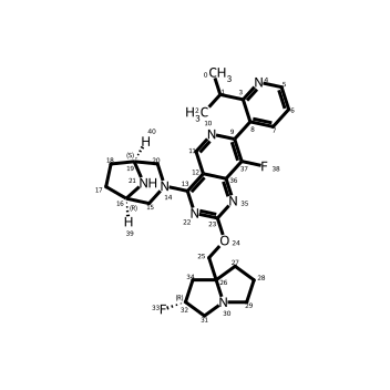 CC(C)c1ncccc1-c1ncc2c(N3C[C@H]4CC[C@@H](C3)N4)nc(OCC34CCCN3C[C@H](F)C4)nc2c1F